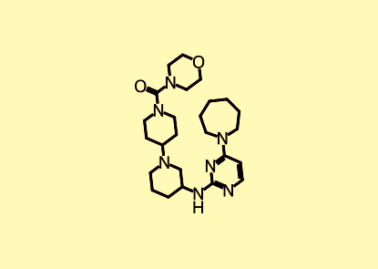 O=C(N1CCOCC1)N1CCC(N2CCCC(Nc3nccc(N4CCCCCC4)n3)C2)CC1